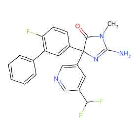 CN1C(=O)C(c2cncc(C(F)F)c2)(c2ccc(F)c(-c3ccccc3)c2)N=C1N